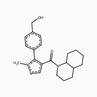 Cn1ncc(C(=O)N2CCCC3CCCCC32)c1-c1ccc(CO)cc1